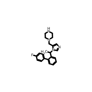 CC(c1ccccc1-c1ccc(F)cc1)n1cncc1CN1CCNCC1